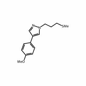 COc1ccc(-c2cnn(CCCSC)c2)cc1